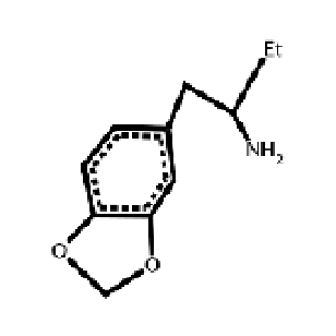 CCC(N)Cc1ccc2c(c1)OCO2